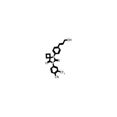 N#Cc1ccc(N2C(=O)C3(CCC3)N(c3ccc(/C=C/CO)cc3)C2=S)cc1C(F)(F)F